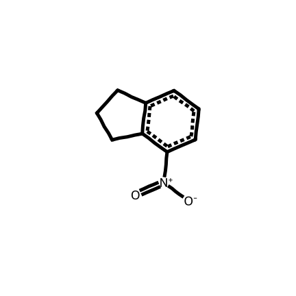 O=[N+]([O-])c1cccc2c1CCC2